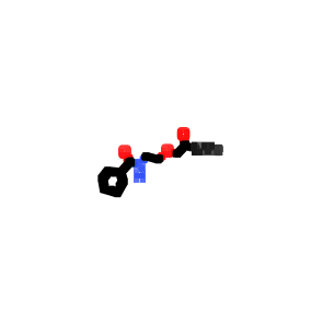 CNC(=O)COCCNC(=O)c1ccccc1